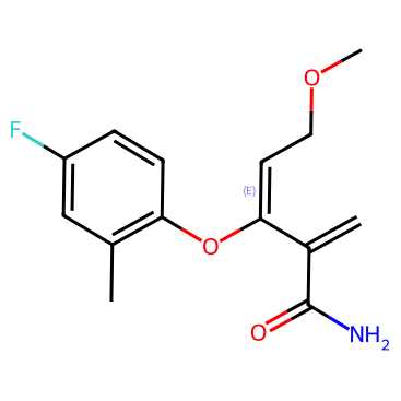 C=C(C(N)=O)/C(=C\COC)Oc1ccc(F)cc1C